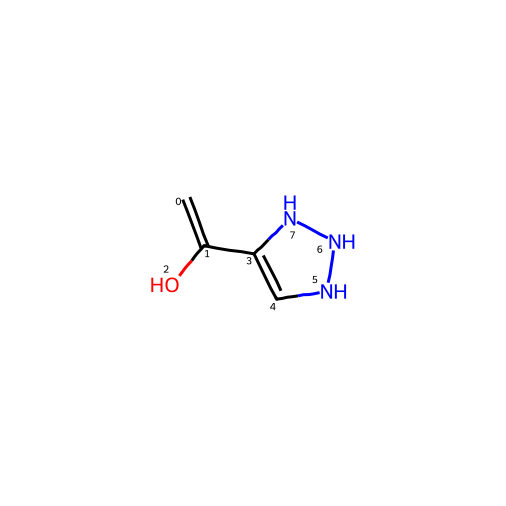 C=C(O)C1=CNNN1